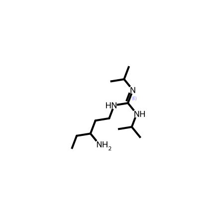 CCC(N)CCN/C(=N\C(C)C)NC(C)C